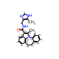 Cc1[nH]cnc1CNC(=O)c1c(C)n2c3c(cccc13)CCc1ccccc1-2